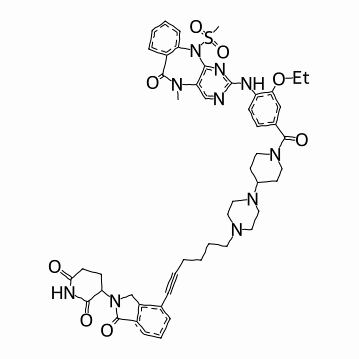 CCOc1cc(C(=O)N2CCC(N3CCN(CCCCC#Cc4cccc5c4CN(C4CCC(=O)NC4=O)C5=O)CC3)CC2)ccc1Nc1ncc2c(n1)N(S(C)(=O)=O)c1ccccc1C(=O)N2C